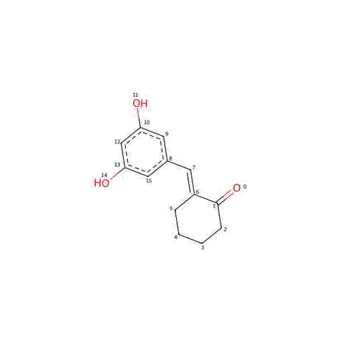 O=C1CCCC/C1=C\c1cc(O)cc(O)c1